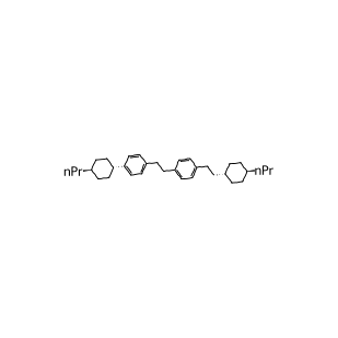 CCC[C@H]1CC[C@H](CCc2ccc(CCc3ccc([C@H]4CC[C@H](CCC)CC4)cc3)cc2)CC1